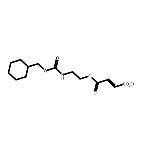 CCOC(=O)/C=C/C(=O)OCCNC(=O)OCC1CCCCC1